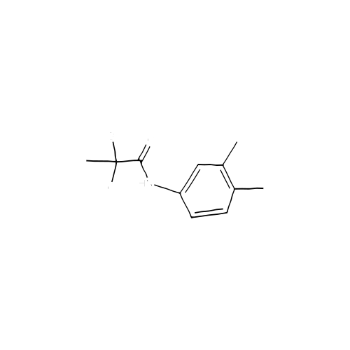 Cc1ccc(NC(=O)C(C)(Cl)Br)cc1C